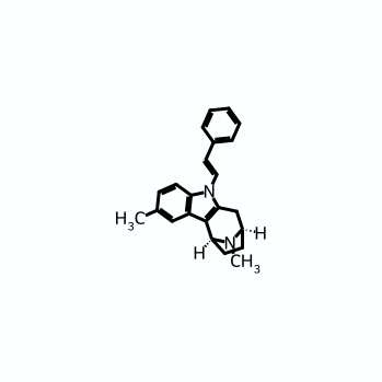 Cc1ccc2c(c1)c1c(n2/C=C/c2ccccc2)C[C@H]2CC[C@@H]1N2C